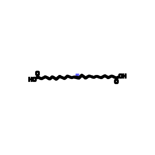 O=C(O)CCCCCCCCC/C=C/CCCCCCCCCC(=O)O